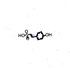 O=S(=O)(O)/C=C/c1ccc(O)cc1